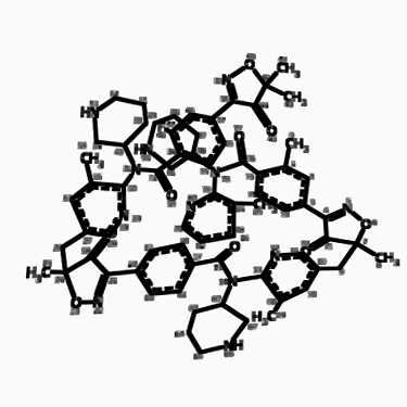 Cc1cc(C2=NOC(C)(Cc3cnc(N(C(=O)c4ccc(C5=NOC(C)(Cc6cnc(N(C(=O)c7ccc(C8=NOC(C)(C)C8=O)cc7F)C7CCCNC7)c(C)c6)C5=O)cc4)C4CCCNC4)c(C)c3)C2=O)ccc1C(=O)N(c1ncccc1C)C1CCCNC1